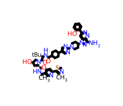 Cc1ncsc1-c1ccc([C@H](C)NC(=O)[C@@H]2C[C@@H](O)CN2C(=O)[C@@H](NC(=O)C2CCC(c3cnc(N4CCC(n5nc(N)c6nnc(-c7ccccc7O)cc65)CC4)nc3)CC2)C(C)(C)C)cn1